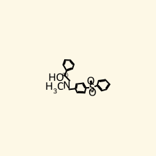 CN(Cc1ccc(S(=O)(=O)c2ccccc2)cc1)C[C@H](O)c1ccccc1